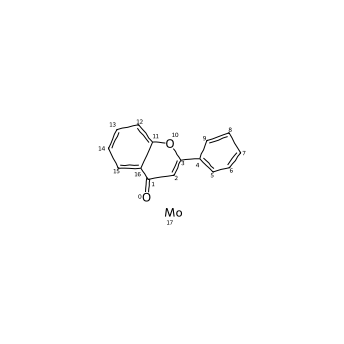 O=c1cc(-c2ccccc2)oc2ccccc12.[Mo]